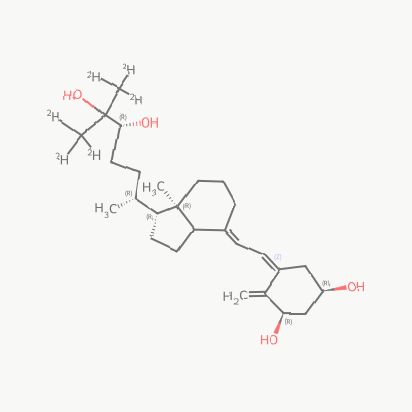 [2H]C([2H])([2H])C(O)([C@H](O)CC[C@@H](C)[C@H]1CCC2C(=C/C=C3/C[C@@H](O)C[C@@H](O)C3=C)CCC[C@@]21C)C([2H])([2H])[2H]